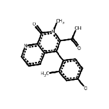 Cc1cc(Cl)ccc1-c1c(C(=O)O)n(C)c(=O)c2ncccc12